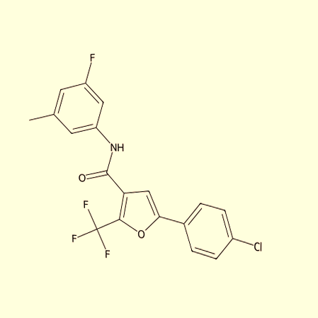 Cc1cc(F)cc(NC(=O)c2cc(-c3ccc(Cl)cc3)oc2C(F)(F)F)c1